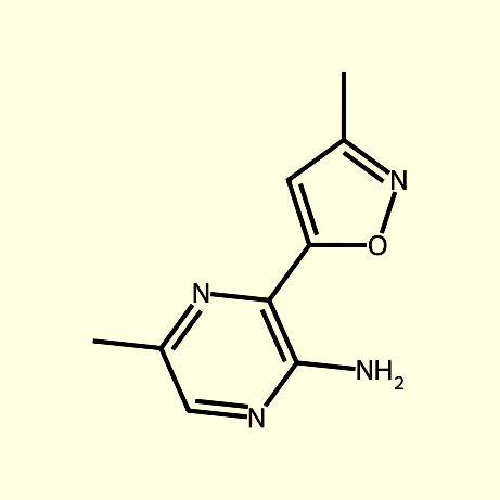 Cc1cc(-c2nc(C)cnc2N)on1